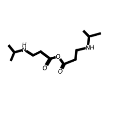 CC(C)NCCC(=O)OC(=O)CCNC(C)C